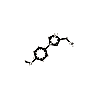 CSc1ccc(-n2cnc(CO)c2)cc1